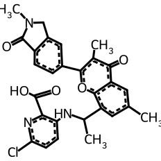 Cc1cc(C(C)Nc2ccc(Cl)nc2C(=O)O)c2oc(-c3ccc4c(c3)CN(C)C4=O)c(C)c(=O)c2c1